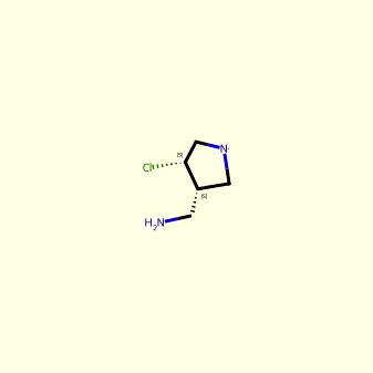 NC[C@H]1C[N]C[C@H]1Cl